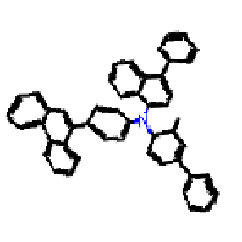 CC1C=C(c2ccccc2)C=CC1N(c1ccc(-c2cc3ccccc3c3ccccc23)cc1)c1ccc(-c2ccccc2)c2ccccc12